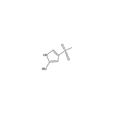 CC(C)(C)c1cc(S(C)(=O)=O)c[nH]1